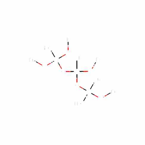 CCO[Si](C)(C)O[Si](C)(OCC)O[Si](C)(OCC)OCC